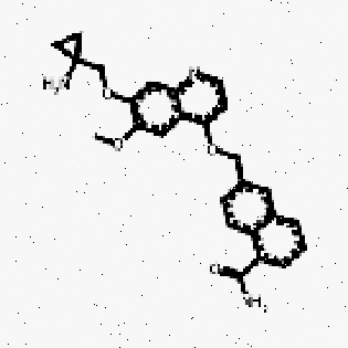 COc1cc2c(OCc3ccc4c(C(N)=O)cccc4c3)ccnc2cc1OCC1(N)CC1